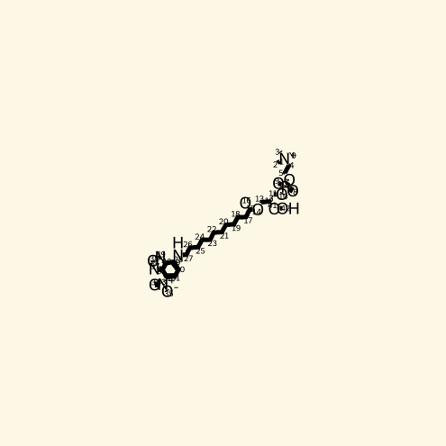 C[N+](C)(C)CCOP(=O)([O-])OC[C@@H](COC(=O)CCCCCCCCCCCNc1ccc([N+](=O)[O-])c2nonc12)OO